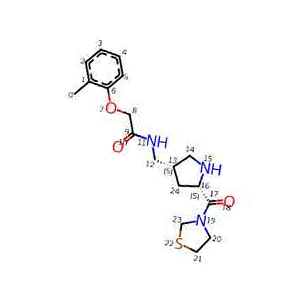 Cc1ccccc1OCC(=O)NC[C@@H]1CN[C@H](C(=O)N2CCSC2)C1